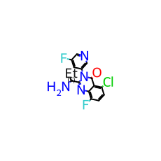 CC[C@H](N)c1nc2c(F)ccc(Cl)c2c(=O)n1-c1cncc(F)c1